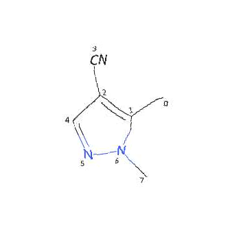 Cc1c(C#N)cnn1C